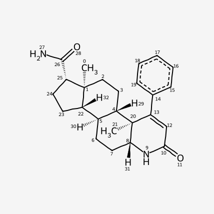 C[C@]12CC[C@H]3[C@@H](CC[C@H]4NC(=O)C=C(c5ccccc5)[C@@]43C)[C@@H]1CC[C@@H]2C(N)=O